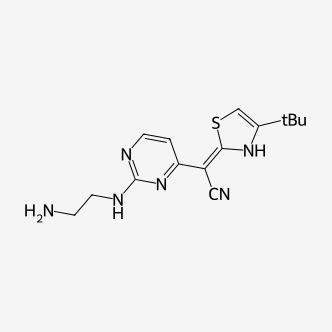 CC(C)(C)C1=CSC(=C(C#N)c2ccnc(NCCN)n2)N1